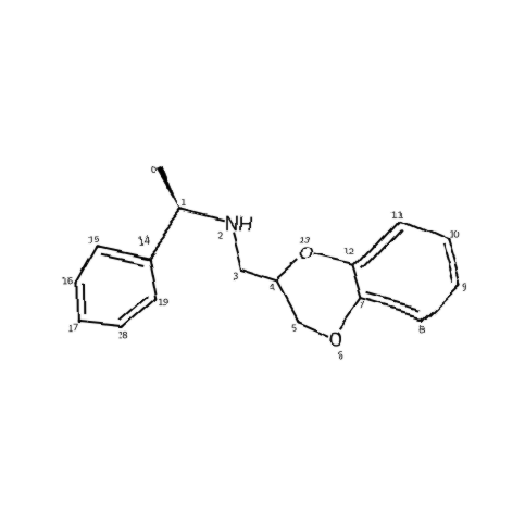 C[C@@H](NCC1COc2ccccc2O1)c1ccccc1